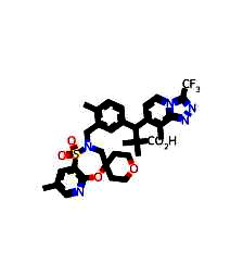 Cc1cnc2c(c1)S(=O)(=O)N(Cc1cc(C(c3ccn4c(C(F)(F)F)nnc4c3C)C(C)(C)C(=O)O)ccc1C)CC1(CCOCC1)O2